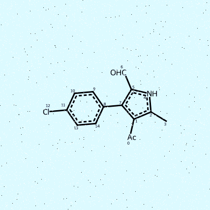 CC(=O)c1c(C)[nH]c(C=O)c1-c1ccc(Cl)cc1